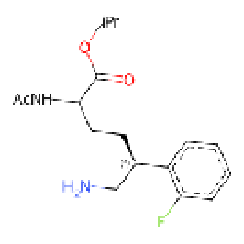 CC(=O)NC(CC[C@H](CN)c1ccccc1F)C(=O)OC(C)C